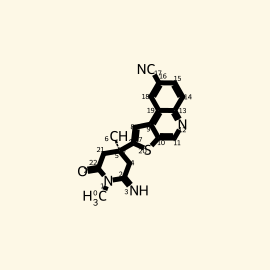 CN1C(=N)C[C@](C)(c2cc3c(cnc4ccc(C#N)cc43)s2)CC1=O